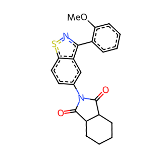 COc1ccccc1-c1nsc2ccc(N3C(=O)C4CCCCC4C3=O)cc12